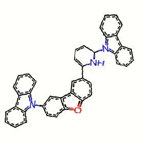 C1=CC(n2c3ccccc3c3ccccc32)NC(c2ccc3oc4ccc(-n5c6ccccc6c6ccccc65)cc4c3c2)=C1